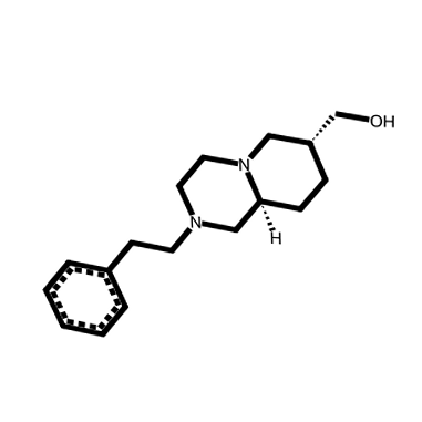 OC[C@@H]1CC[C@H]2CN(CCc3ccccc3)CCN2C1